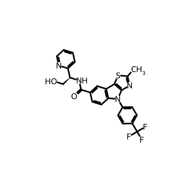 Cc1nc2c(s1)c1cc(C(=O)N[C@@H](CO)c3ccccn3)ccc1n2-c1ccc(C(F)(F)F)cc1